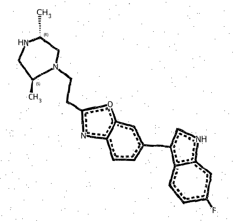 C[C@@H]1CN(CCc2nc3ccc(-c4c[nH]c5cc(F)ccc45)cc3o2)[C@@H](C)CN1